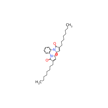 CCCCCCCCC1=CC(=O)N(c2ccccc2N2C(=O)C=C(CCCCCCCC)C2=O)C1=O